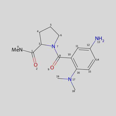 CNC(=O)C1CCCN1C(=O)c1cc(N)ccc1N(C)C